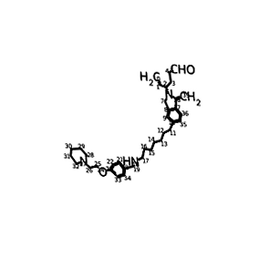 C=CC(CCC=O)N1Cc2cc(CCCCCCCNCc3ccc(OCCN4CCCCC4)cc3)ccc2C1=C